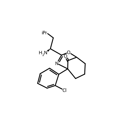 CC(C)C[C@H](N)C1=NC2(c3ccccc3Cl)CCCC(O1)C2=O